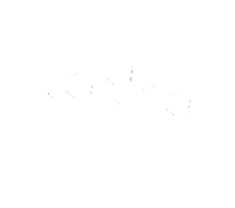 CCOc1ccc(C=CC(=O)c2cc3ccc(N(CC)CC)cc3oc2=O)cc1